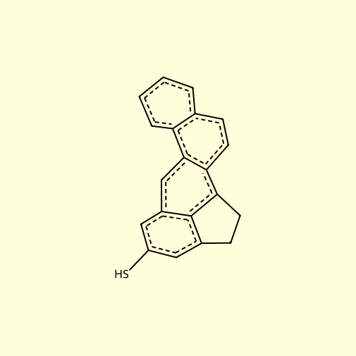 Sc1cc2c3c(c4ccc5ccccc5c4cc3c1)CC2